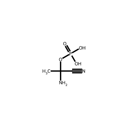 CC(N)(C#N)OP(=O)(O)O